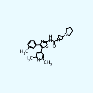 Cc1cccc(-c2nc(NC(=O)N3CC(N4CCCC4)C3)sc2-c2cc(C)nc(C)c2)c1